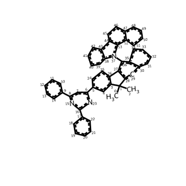 CC1(C)c2cc(-c3cc(-c4ccccc4)nc(-c4ccccc4)n3)ccc2-c2c1cc1ccccc1c2-n1c2ccccc2c2ccc3ccccc3c21